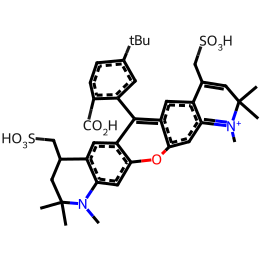 CN1c2cc3c(cc2C(CS(=O)(=O)O)CC1(C)C)C(c1cc(C(C)(C)C)ccc1C(=O)O)=c1cc2c(cc1O3)=[N+](C)C(C)(C)C=C2CS(=O)(=O)O